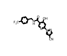 N#Cc1cnn(-c2cc(O)c(C(=O)NCc3ccc(C(F)(F)F)cc3)cn2)c1